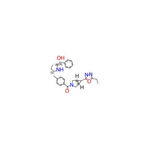 CCc1nnc(C2[C@H]3CN(C(=O)c4ccc(C[C@@H]5CC[C@H]([C@H](O)c6ccccc6)N5)cc4)C[C@@H]23)o1